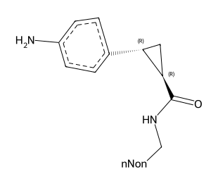 CCCCCCCCCCNC(=O)[C@@H]1C[C@H]1c1ccc(N)cc1